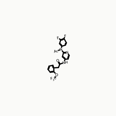 CC(=O)N(c1ccc(F)c(F)c1)c1cc(NC(=O)Cc2ccccc2OC(F)(F)F)ccn1